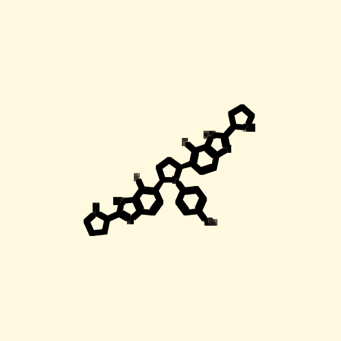 CC(C)(C)c1ccc(N2[C@@H](c3ccc4nc(C5CCCN5)[nH]c4c3F)CC[C@H]2c2ccc3nc(C4CCCN4)[nH]c3c2F)cc1